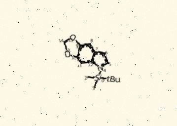 CC(C)(C)[Si](C)(C)n1ccc2cc3c(cc21)OCO3